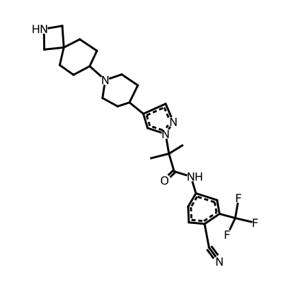 CC(C)(C(=O)Nc1ccc(C#N)c(C(F)(F)F)c1)n1cc(C2CCN(C3CCC4(CC3)CNC4)CC2)cn1